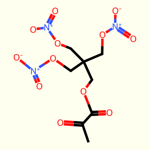 CC(=O)C(=O)OCC(CO[N+](=O)[O-])(CO[N+](=O)[O-])CO[N+](=O)[O-]